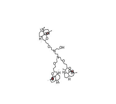 C=N[C@@]12CC[C@@]3(C)OO[C@]14[C@H](OC(CCOCCN(CCO)CCN(CCOCCC1O[C@@H]5O[C@@]6(C)CC[C@H]7[C@H](C)CC[C@@H]([C@H]1C)[C@@]57OO6)CCOCCC1O[C@@H]5O[C@@]6(C)CC[C@H]7CCC[C@@H]([C@H]1C)[C@]75OO6)[C@H](C)[C@@H]4CC[C@H]2C)O3